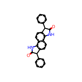 O=C1Nc2c(ccc3c4c(ccc23)C(c2ccccc2)C(=O)N4)C1c1ccccc1